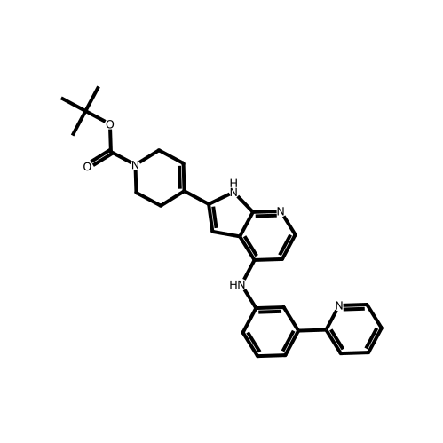 CC(C)(C)OC(=O)N1CC=C(c2cc3c(Nc4cccc(-c5ccccn5)c4)ccnc3[nH]2)CC1